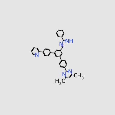 Cc1cc(C)nc(-c2ccc(-c3cc(/C=N/C(=N)c4ccccc4)cc(-c4ccc(-c5ccccn5)cc4)c3)cc2)n1